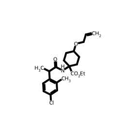 C=CCOC1CCC(NC(=O)C(C)c2ccc(Cl)cc2C)(C(=O)OCC)CC1